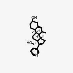 CC1C=C2CC(O)CC[C@]2(C)[C@@H]2CC[C@]3(CO)C(c4cccnc4)=CC[C@H]3[C@H]12